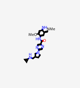 CN/C=C1/C=C(NC(=O)c2cnc(N3CCC(CNC4CC4)C3)cn2)C(OC)=CC1=N